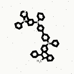 CC1c2ccccc2-c2cc(N(c3ccccc3)c3ccc(-c4ccc(N(c5ccccc5)c5ccc6c(c5)c5ccccc5n6-c5ccccc5)cc4)cc3)ccc2C1c1ccccc1